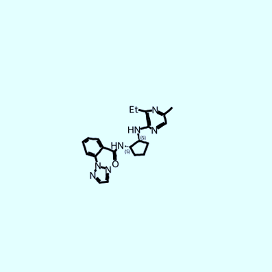 CCc1nc(C)cnc1N[C@H]1CCC[C@@H]1NC(=O)c1ccccc1-n1nccn1